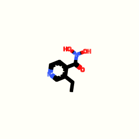 CCc1cnccc1C(=O)N(O)O